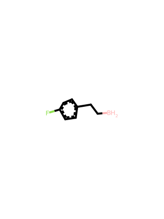 BCCc1ccc(F)cc1